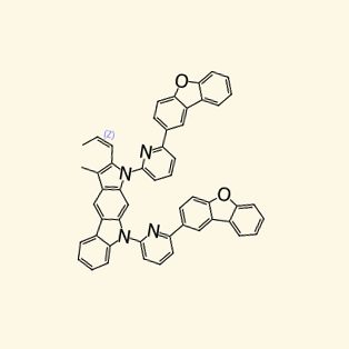 C/C=C\c1c(C)c2cc3c4ccccc4n(-c4cccc(-c5ccc6oc7ccccc7c6c5)n4)c3cc2n1-c1cccc(-c2ccc3oc4ccccc4c3c2)n1